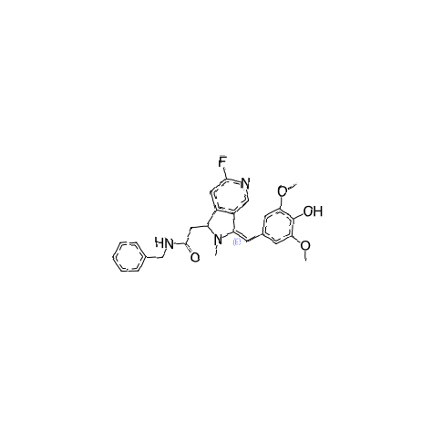 COc1cc(/C=C2\c3cnc(F)cc3C(CC(=O)NCc3ccccc3)N2C)cc(OC)c1O